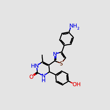 CC1=C(c2nc(-c3ccc(N)cc3)cs2)C(c2ccc(O)cc2)NC(=O)N1